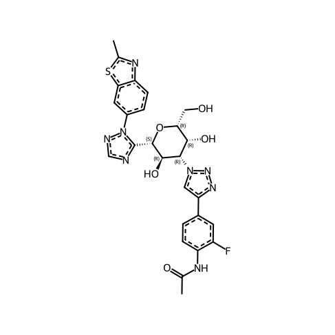 CC(=O)Nc1ccc(-c2cn([C@H]3[C@@H](O)[C@@H](CO)O[C@@H](c4ncnn4-c4ccc5nc(C)sc5c4)[C@@H]3O)nn2)cc1F